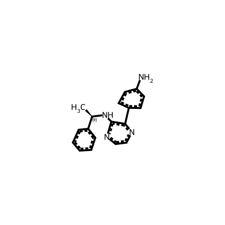 C[C@@H](Nc1nccnc1-c1ccc(N)cc1)c1ccccc1